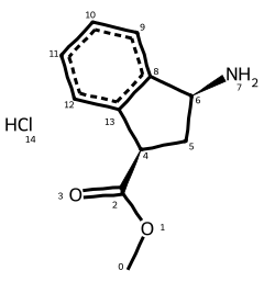 COC(=O)[C@@H]1C[C@H](N)c2ccccc21.Cl